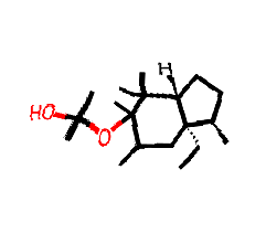 CC[C@]12CC(C)C(C)(OC(C)(C)O)C(C)(C)[C@@H]1CC[C@H]2C